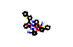 N#Cc1ccccc1-c1cccc(-n2c3ccccc3c3c4sc5ccccc5c4ccc32)c1-c1nc(-c2ccccc2)nc(-c2c(C#N)cccc2-n2c3ccccc3c3c4sc5ccccc5c4ccc32)n1